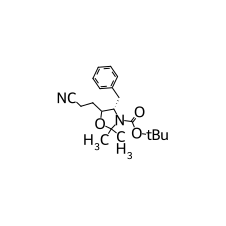 CC(C)(C)OC(=O)N1[C@@H](Cc2ccccc2)C(CCC#N)OC1(C)C